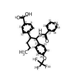 CCCC(c1ccc(C(=O)O)cc1)C(NC(=O)c1ccncc1)c1ccc(OC(F)(F)F)cc1